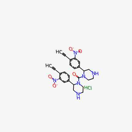 C#Cc1ccc(C2CNCCN2C(=O)N2CCNCC2c2ccc(C#C)c([N+](=O)[O-])c2)cc1[N+](=O)[O-].Cl